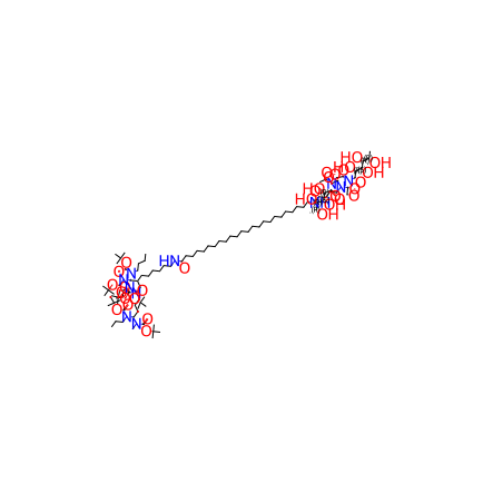 CCCCN(C(=O)OC(C)(C)C)C(C(CCCCCCNC(=O)CCCCCCCCCCCCCCCCCCCCCCCNC(=O)CCC(=O)N(C1(N(C(C)=O)C(=O)[C@H](O)[C@@H](O)[C@H](O)[C@@H](C)O)COO1)C1(N(C(C)=O)C(=O)[C@H](O)[C@@H](O)[C@H](O)[C@@H](C)O)COO1)CN(CCCC(N(C)C(=O)OC(C)(C)C)N(CCC)C(=O)OC(C)(C)C)C(=O)OC(C)(C)C)(N(C)C(=O)OC(C)(C)C)N(CCC)C(=O)OC(C)(C)C